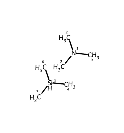 CN(C)C.C[SiH](C)C